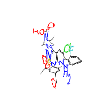 Cc1cc(C=O)cc(C(C)C)c1N1c2nc(-c3c(N)cccc3F)c(Cl)cc2C(N2CC(C)N(C(=O)O)CC2C)=NS1(=O)=O